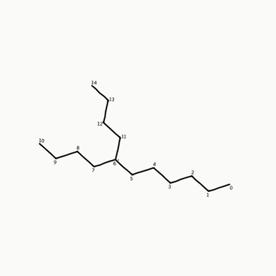 CCCCCC[C](CCCC)CCCC